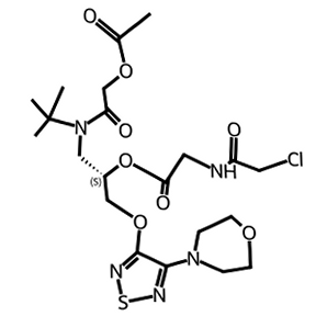 CC(=O)OCC(=O)N(C[C@@H](COc1nsnc1N1CCOCC1)OC(=O)CNC(=O)CCl)C(C)(C)C